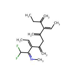 C=C(CC(=C)/C(=C/C)C(=C)CC)C(=C/C)/C(=N\C)C(F)F